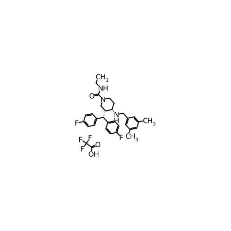 CCNC(=O)N1CC[C@H](NCc2cc(C)cc(C)c2)[C@H](C(c2ccc(F)cc2)c2ccc(F)cc2)C1.O=C(O)C(F)(F)F